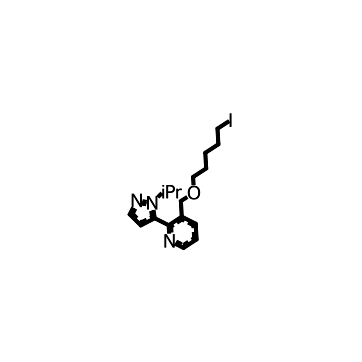 CC(C)n1nccc1-c1ncccc1COCCCCCI